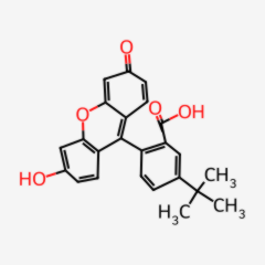 CC(C)(C)c1ccc(-c2c3ccc(=O)cc-3oc3cc(O)ccc23)c(C(=O)O)c1